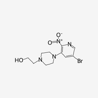 O=[N+]([O-])c1ncc(Br)cc1N1CCN(CCO)CC1